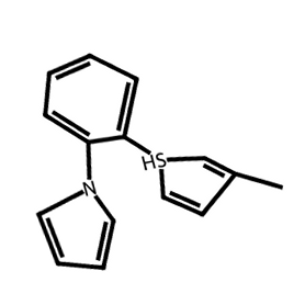 CC1=C[SH](c2ccccc2-n2cccc2)C=C1